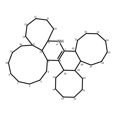 C1CCCCC2C3=C(NC4CCCCCC(CCC1)C42)C1CCCCCCCC1C1CCCCCCC31